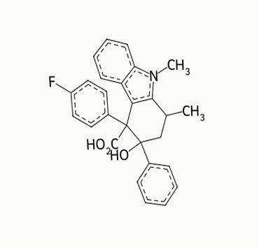 CC1CC(O)(c2ccccc2)C(C(=O)O)(c2ccc(F)cc2)c2c1n(C)c1ccccc21